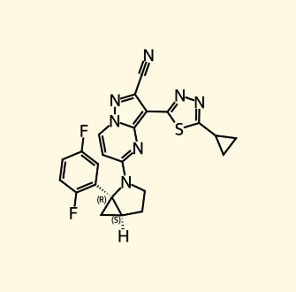 N#Cc1nn2ccc(N3CC[C@H]4C[C@]43c3cc(F)ccc3F)nc2c1-c1nnc(C2CC2)s1